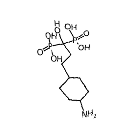 NC1CCC(CCC(O)(P(=O)(O)O)P(=O)(O)O)CC1